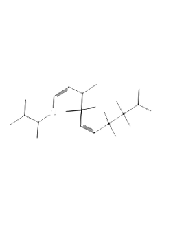 CC(C)C(C)N/C=C\C(C)C(C)(C)/C=C\C(C)(C)C(C)(C)C(C)C